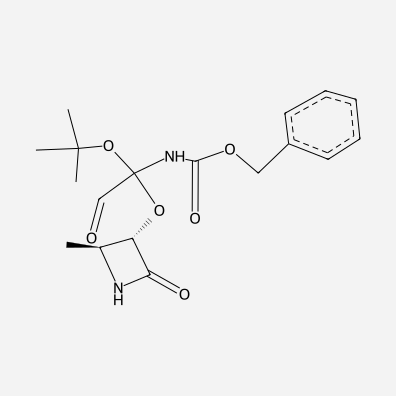 C[C@@H]1NC(=O)[C@H]1OC(C=O)(NC(=O)OCc1ccccc1)OC(C)(C)C